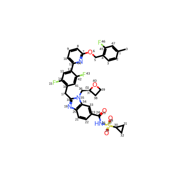 Cc1ccc(COc2cccc(-c3cc(F)c(Cc4nc5ccc(C(=O)NS(=O)(=O)C6CC6)cc5n4C[C@@H]4CCO4)cc3F)n2)c(F)c1